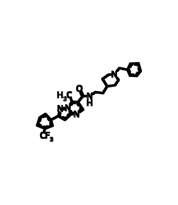 Cc1c(C(=O)NCCC2CCN(Cc3ccccc3)CC2)cnc2cc(-c3cccc(C(F)(F)F)c3)nn12